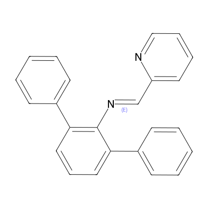 C(=N\c1c(-c2ccccc2)cccc1-c1ccccc1)/c1ccccn1